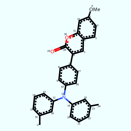 COc1ccc2cc(-c3ccc(N(c4cccc(C)c4)c4cccc(C)c4)cc3)c(=O)oc2c1